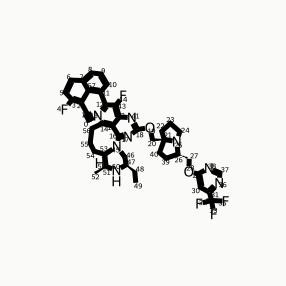 C#Cc1c(F)ccc2cccc(-c3nc4c5c(nc(OC[C@@]67CCCN6[C@H](COc6cc(C(F)(F)F)ncn6)CC7)nc5c3F)N3C[C@@H](CC)N[C@@H](C)[C@H]3CCC4)c12